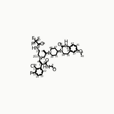 C=C(CN(/C=C(\C(=O)NC=O)c1cccc(F)c1Cl)[C@H](C)CNC(=O)C(F)(F)F)N1CCC(N2CCc3cc(OC)ccc3NC2=O)CC1